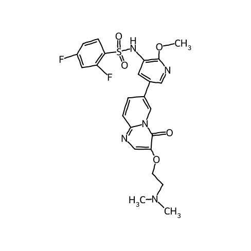 COc1ncc(-c2ccc3ncc(OCCN(C)C)c(=O)n3c2)cc1NS(=O)(=O)c1ccc(F)cc1F